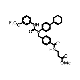 COC(=O)CCNC(=O)c1ccc(CN(C(=O)Nc2cccc(OC(F)(F)F)c2)c2ccc(C3=CCCCC3)cc2)cc1